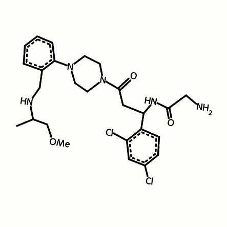 COCC(C)NCc1ccccc1N1CCN(C(=O)CC(NC(=O)CN)c2ccc(Cl)cc2Cl)CC1